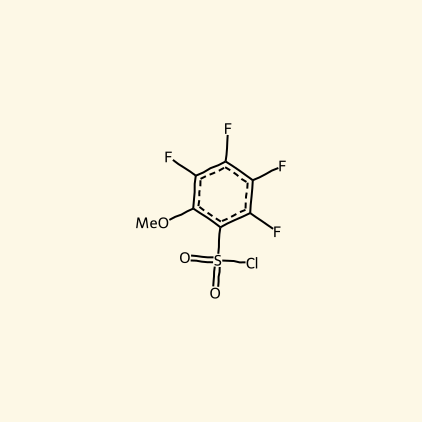 COc1c(F)c(F)c(F)c(F)c1S(=O)(=O)Cl